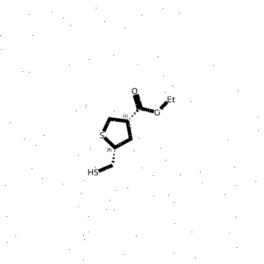 CCOC(=O)[C@H]1CS[C@@H](CS)C1